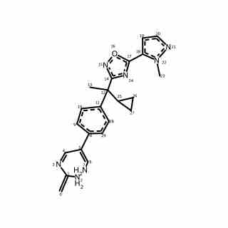 C=C(N)/N=C\C(=C/N)c1ccc(C(C)(c2noc(-c3ccnn3C)n2)C2CC2)cc1